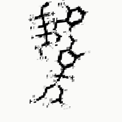 CNC(=O)C(O)(N(C=O)Cc1c(C)cccc1OCc1ccc(C(O)(O)N(CCO)CC(C)C)cc1F)C(O)(O)C(O)(O)C=O